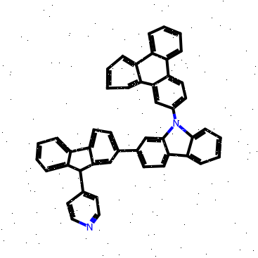 c1ccc2c(c1)-c1ccc(-c3ccc4c5ccccc5n(-c5ccc6c7ccccc7c7ccccc7c6c5)c4c3)cc1C2c1ccncc1